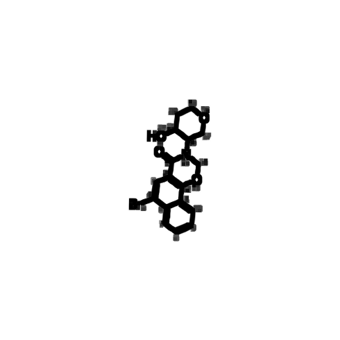 O=C1c2cc(Br)c3ccccc3c2OCN1C1COCCC1O